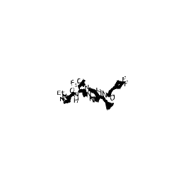 CCn1nccc1C(=O)N[C@@H](CC(C)(C)C(F)(F)F)c1cn2ncc([C@H](NC(=O)CC3CC(F)(F)C3)C3CC3)cc2n1